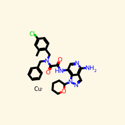 Cc1cc(Cl)ccc1CN(Cc1ccccc1)C(=O)C(=O)Nc1cnc(N)c2cnn(C3CCCCO3)c12.[Cu]